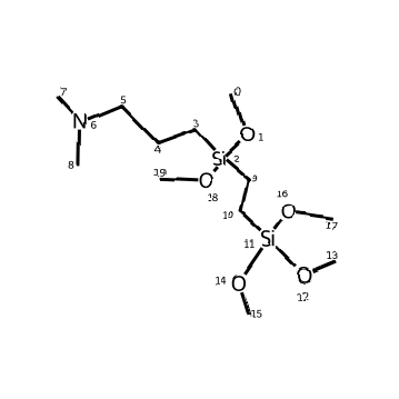 CO[Si](CCCN(C)C)(CC[Si](OC)(OC)OC)OC